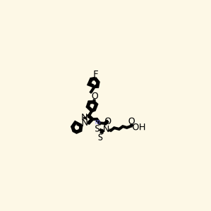 O=C(O)CCCCCN1C(=O)/C(=C/c2cn(-c3ccccc3)nc2-c2ccc(OCc3ccc(F)cc3)cc2)SC1=S